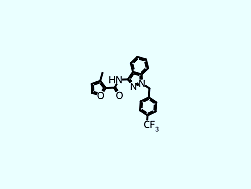 Cc1ccoc1C(=O)Nc1nn(Cc2ccc(C(F)(F)F)cc2)c2ccccc12